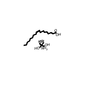 CCCCCCCC/C=C\CCCCCCCC(=O)O.N.OCC(CO)(CO)CO